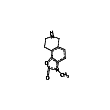 Cn1c(=O)oc2c3c(ccc21)CNCC3